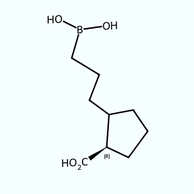 O=C(O)[C@@H]1CCCC1CCCB(O)O